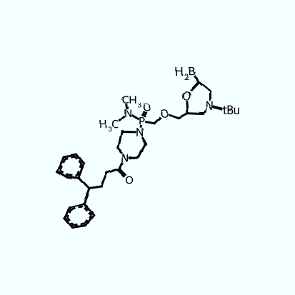 BC1CN(C(C)(C)C)CC(COCP(=O)(N(C)C)N2CCN(C(=O)CCC(c3ccccc3)c3ccccc3)CC2)O1